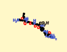 C#CCCC(=O)N[C@H](CCCCN)C(=O)NCCOCCNC(=O)CC[C@@H](NC(=O)c1ccc(NCc2cnc3nc(N)[nH]c(=O)c3n2)cc1)C(=O)O